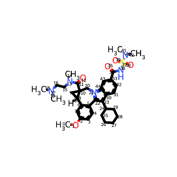 COc1ccc2c(c1)[C@@H]1CC1(C(=O)N(C)CCN(C)C)Cn1c-2c(C2CCCCC2)c2ccc(C(=O)NS(=O)(=O)N(C)C)cc21